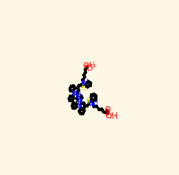 O=C(O)CCCCC[n+]1c(/C=C2\C=C(N3CCN(C4=C/C(=C\c5sc6ccccc6[n+]5CCCCCC(=O)O)c5ccccc5N4c4ccccc4)CC3)N(c3ccccc3)c3ccccc32)sc2ccccc21